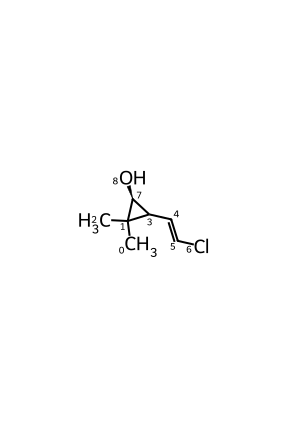 CC1(C)C(C=CCl)[C@@H]1O